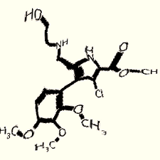 COC(=O)c1[nH]c(CNCCO)c(-c2ccc(OC)c(OC)c2OC)c1Cl